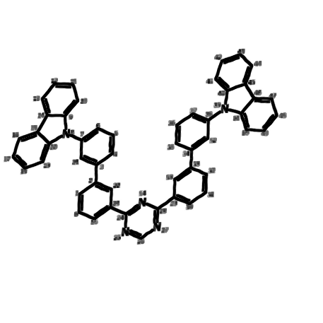 c1cc(-c2cccc(-n3c4ccccc4c4ccccc43)c2)cc(-c2ncnc(-c3cccc(-c4cccc(-n5c6ccccc6c6ccccc65)c4)c3)n2)c1